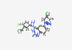 Fc1ccc(Nc2ncnc3ccc(-n4cc(Cl)cn4)cc23)cc1Cl